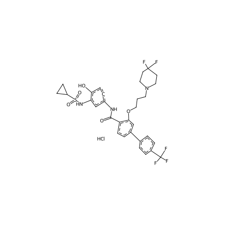 Cl.O=C(Nc1ccc(O)c(NS(=O)(=O)C2CC2)c1)c1ccc(-c2ccc(C(F)(F)F)cc2)cc1OCCCN1CCC(F)(F)CC1